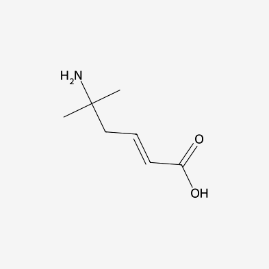 CC(C)(N)C/C=C/C(=O)O